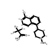 NN1CCC(c2cccc3c(Cl)nccc23)CC1.O=C(O)C(F)(F)F